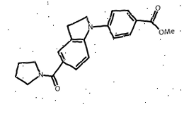 COC(=O)c1ccc(N2CCc3cc(C(=O)N4CCCC4)ccc32)cc1